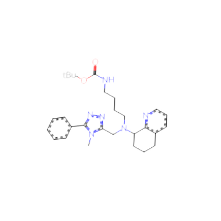 Cn1c(CN(CCCCNC(=O)OC(C)(C)C)C2CCCc3cccnc32)nnc1-c1ccccc1